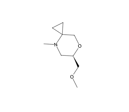 COC[C@H]1CN(C)C2(CC2)CO1